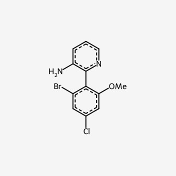 COc1cc(Cl)cc(Br)c1-c1ncccc1N